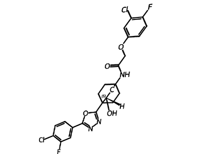 O=C(COc1ccc(F)c(Cl)c1)NC12CCC(c3nnc(-c4ccc(Cl)c(F)c4)o3)(CC1)[C@@H](O)C2